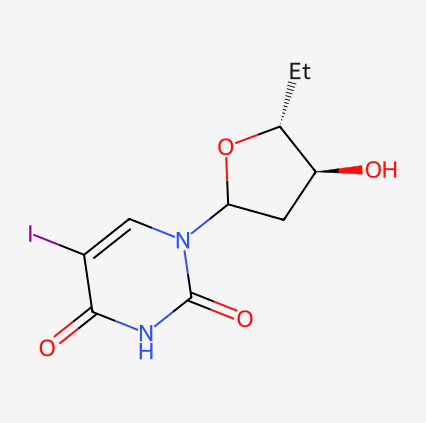 CC[C@H]1OC(n2cc(I)c(=O)[nH]c2=O)C[C@@H]1O